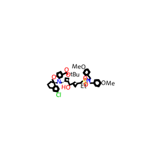 CC[C@H](CS(=O)(=O)N(Cc1ccc(OC)cc1)Cc1ccc(OC)cc1)[C@@H]1C=C([C@H](O)[C@@H]2CC[C@H]2CN2C[C@@]3(CCCc4cc(Cl)ccc43)COc3ccc(C(=O)OC(C)(C)C)cc32)C1